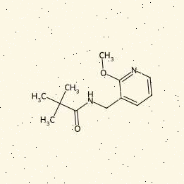 COc1ncccc1CNC(=O)C(C)(C)C